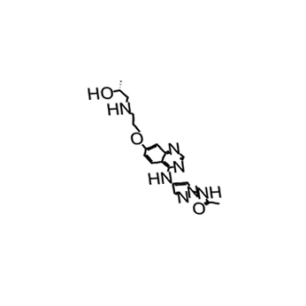 CC(=O)Nn1cc(Nc2ncnc3cc(OCCCNC[C@@H](C)O)ccc23)cn1